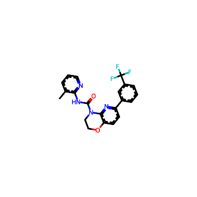 Cc1cccnc1NC(=O)N1CCOc2ccc(-c3cccc(C(F)(F)F)c3)nc21